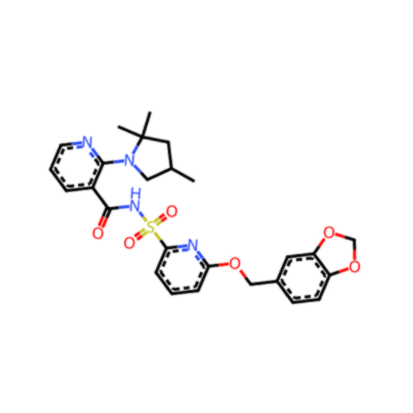 CC1CN(c2ncccc2C(=O)NS(=O)(=O)c2cccc(OCc3ccc4c(c3)OCO4)n2)C(C)(C)C1